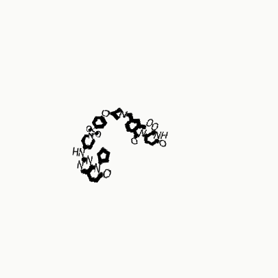 O=C1CCC(N2C(=O)c3ccc(CN4CC(Oc5ccc(S(=O)(=O)N6CCC(Nc7ncc8ccc(=O)n(C9CCCC9)c8n7)CC6)cc5)C4)cc3C2=O)C(=O)N1